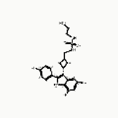 O=S(=O)(NCCO)NC[C@H]1C[C@H](c2c(-c3ccc(F)cc3)[nH]c3c(F)cc(F)cc32)C1